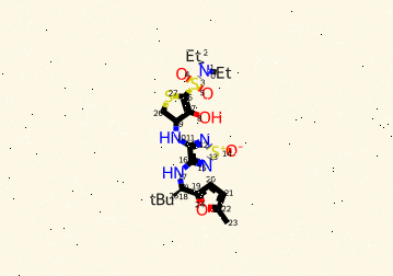 CCN(CC)S(=O)(=O)C1=C(O)C(Nc2n[s+]([O-])nc2N[C@@H](c2ccc(C)o2)C(C)(C)C)CS1